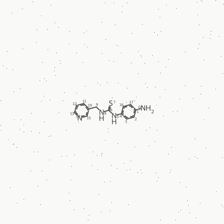 Nc1ccc(NC(=S)NCc2cccnc2)cc1